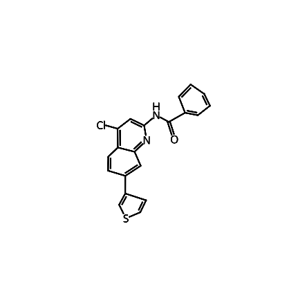 O=C(Nc1cc(Cl)c2ccc(-c3ccsc3)cc2n1)c1ccccc1